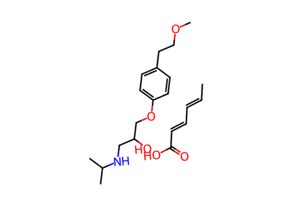 CC=CC=CC(=O)O.COCCc1ccc(OCC(O)CNC(C)C)cc1